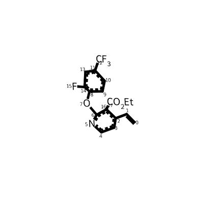 C=Cc1ccnc(Oc2ccc(C(F)(F)F)cc2F)c1C(=O)OCC